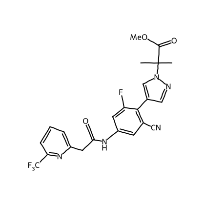 COC(=O)C(C)(C)n1cc(-c2c(F)cc(NC(=O)Cc3cccc(C(F)(F)F)n3)cc2C#N)cn1